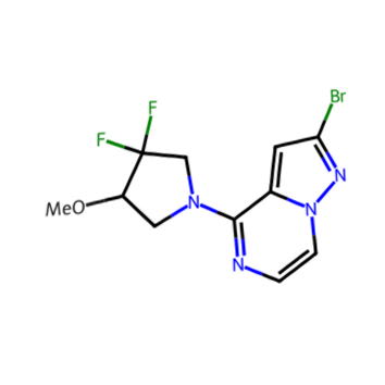 COC1CN(c2nccn3nc(Br)cc23)CC1(F)F